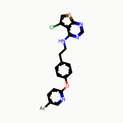 CC(=O)c1ccc(Oc2ccc(CCNc3ncnc4scc(Cl)c34)cc2)nc1